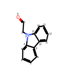 O=CCn1c2ccccc2c2ccccc21